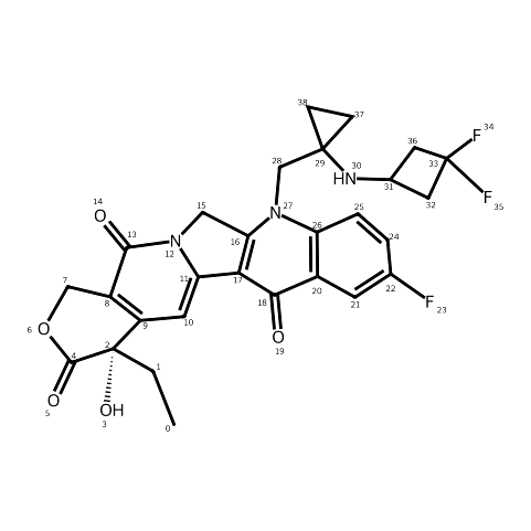 CC[C@@]1(O)C(=O)OCc2c1cc1n(c2=O)Cc2c-1c(=O)c1cc(F)ccc1n2CC1(NC2CC(F)(F)C2)CC1